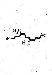 CC(=O)CCCC(C)=CCC=C(C)CCCC(C)C